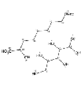 CC(=O)C(O)C(O)C(O)C(O)CO.CCCCCCCCCCCCCCCCC(O)C(=O)O